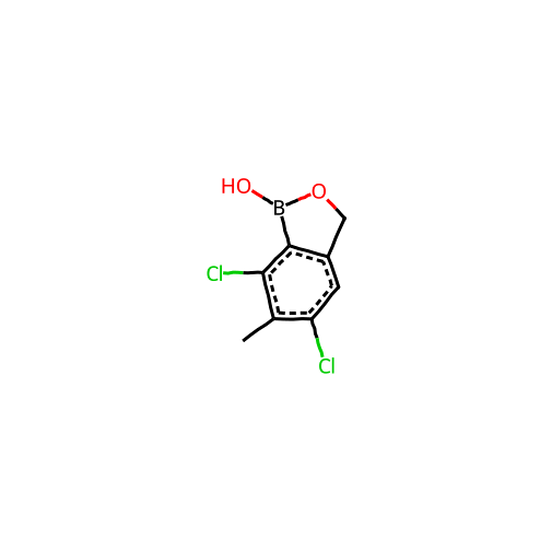 Cc1c(Cl)cc2c(c1Cl)B(O)OC2